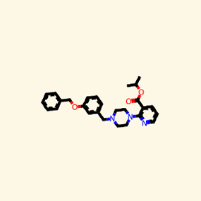 CC(C)OC(=O)c1cccnc1N1CCN(Cc2cccc(OCc3ccccc3)c2)CC1